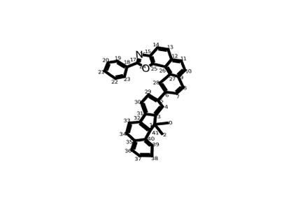 CC1(C)c2cc(-c3ccc4ccc5ccc6nc(-c7ccccc7)oc6c5c4c3)ccc2-c2ccc3ccccc3c21